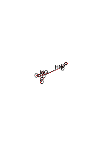 COc1ccc(C(OCCC(O)CCCCCCCCCCCNC(=O)OCc2ccccc2)(c2ccccc2)c2ccc(OC)cc2)cc1